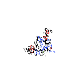 CCC[C@@H](Nc1nc(Nc2cnc(OCCOC)c(-n3nccn3)c2)c(C(N)=O)cc1F)[C@H](C)NC(=O)OC(C)(C)C